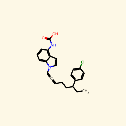 CCC(CCC=C=Cn1ccc2c(NC(=O)O)cccc21)c1ccc(Cl)cc1